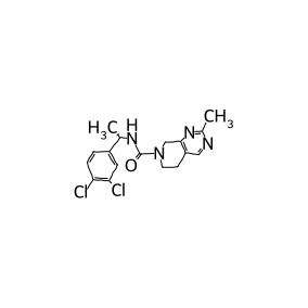 Cc1ncc2c(n1)CN(C(=O)N[C@H](C)c1ccc(Cl)c(Cl)c1)CC2